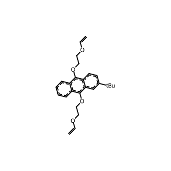 C=COCCOc1c2ccccc2c(OCCOC=C)c2cc(C(C)(C)C)ccc12